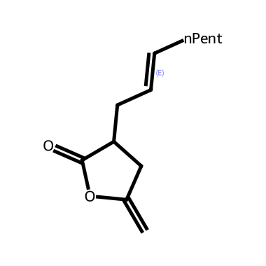 C=C1CC(C/C=C/CCCCC)C(=O)O1